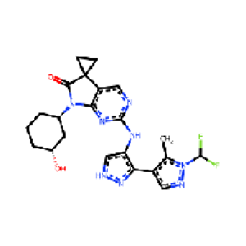 Cc1c(-c2n[nH]cc2Nc2ncc3c(n2)N([C@@H]2CCC[C@@H](O)C2)C(=O)C32CC2)cnn1C(F)F